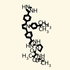 COC(=O)N[C@H](C(=O)N1CCC[C@H]1C1NC=C(c2ccc(-c3ccc(-c4ccc(C5=CNCN5)cc4)n3-c3ccc(C(C)(C)C)cc3)cc2)N1)C(C)C